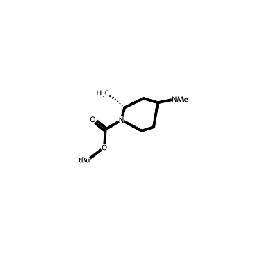 CNC1CCN(C(=O)OC(C)(C)C)[C@H](C)C1